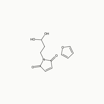 O=C1C=CC(=O)N1CCC(O)O.c1ccoc1